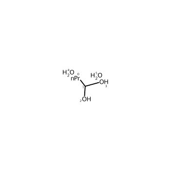 CCCC(O)O.O.O